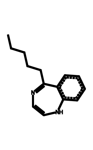 CCCCCC1=NC=CNc2ccccc21